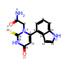 NC(=O)Cn1c(-c2cccc3[nH]ccc23)cc(=O)[nH]c1=S